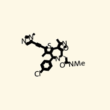 CNC(=O)C[C@@H]1N=C(c2ccc(Cl)cc2)c2c(sc(C#Cc3cncn3C)c2C)-c2c(C)noc21